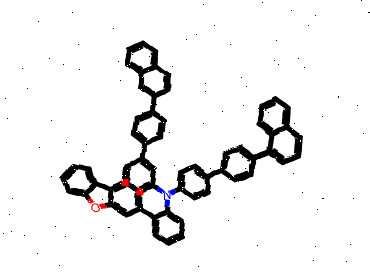 c1cc(-c2ccc(-c3ccc4ccccc4c3)cc2)cc(N(c2ccc(-c3ccc(-c4cccc5ccccc45)cc3)cc2)c2ccccc2-c2ccc3c(c2)oc2ccccc23)c1